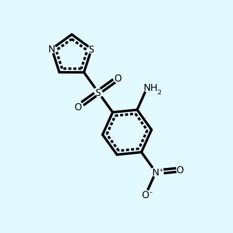 Nc1cc([N+](=O)[O-])ccc1S(=O)(=O)c1cncs1